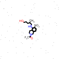 C[C@H](CCCO)CNc1c([N+](=O)[O-])ccc2c1CCN(C(=O)C(F)(F)F)C2